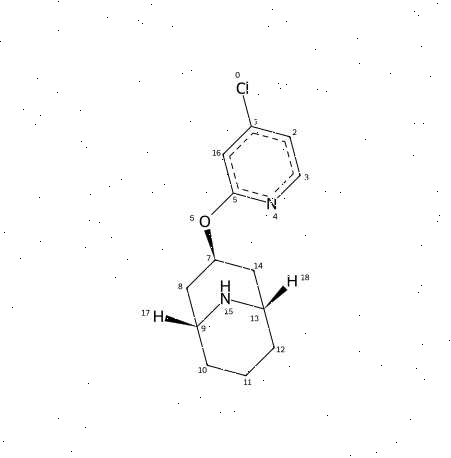 Clc1ccnc(O[C@@H]2C[C@H]3CCC[C@@H](C2)N3)c1